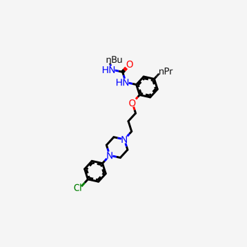 CCCCNC(=O)Nc1cc(CCC)ccc1OCCCN1CCN(c2ccc(Cl)cc2)CC1